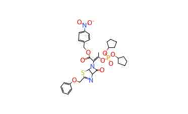 CC(OP(=O)(OC1CCCC1)OC1CCCC1)=C(C(=O)OCc1ccc([N+](=O)[O-])cc1)N1C(=O)C2N=C(COc3ccccc3)SC21